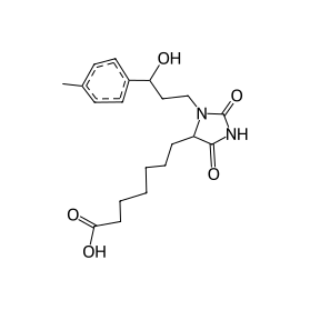 Cc1ccc(C(O)CCN2C(=O)NC(=O)C2CCCCCCC(=O)O)cc1